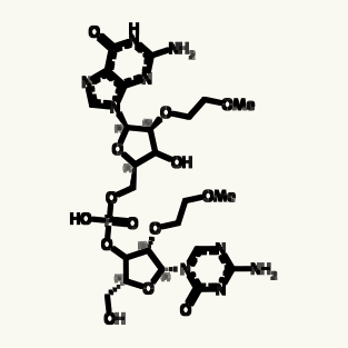 COCCO[C@H]1C(OP(=O)(O)OC[C@H]2O[C@@H](n3cnc4c(=O)[nH]c(N)nc43)[C@@H](OCCOC)C2O)[C@@H](CO)O[C@H]1n1cnc(N)nc1=O